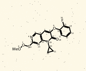 COOSc1ncc2cc(Oc3ccccc3F)c(=O)n(C3CC3)c2n1